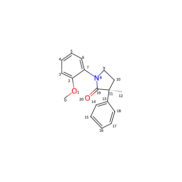 COc1ccccc1N1CC[C@@](C)(c2ccccc2)C1=O